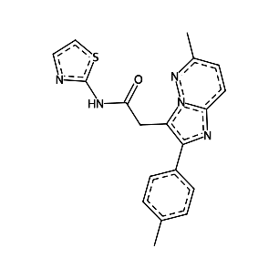 Cc1ccc(-c2nc3ccc(C)nn3c2CC(=O)Nc2nccs2)cc1